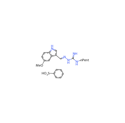 CCCCCNC(=N)N/N=C/c1c[nH]c2ccc(OC)cc12.O=S(=O)(O)c1ccccc1